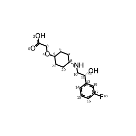 O=C(O)CO[C@H]1CC[C@H](NC[C@H](O)c2cccc(F)c2)CC1